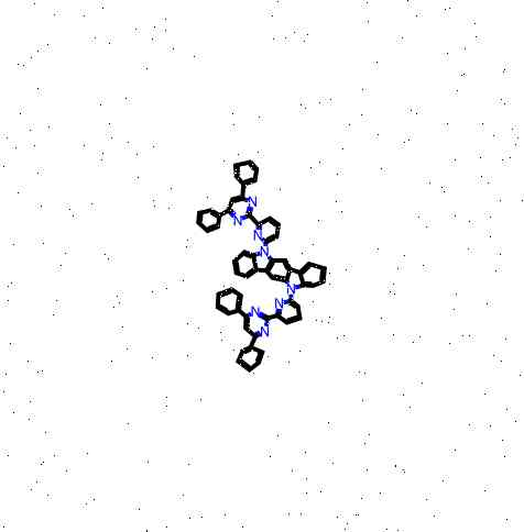 c1ccc(-c2cc(-c3ccccc3)nc(-c3cccc(-n4c5ccccc5c5cc6c(cc54)c4ccccc4n6-c4cccc(-c5nc(-c6ccccc6)cc(-c6ccccc6)n5)n4)n3)n2)cc1